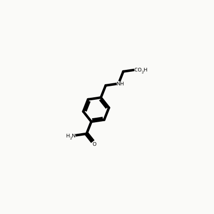 NC(=O)c1ccc(CNCC(=O)O)cc1